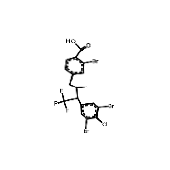 CC(Cc1ccc(C(=O)O)c(Br)c1)C(c1cc(Br)c(Cl)c(Br)c1)C(F)(F)F